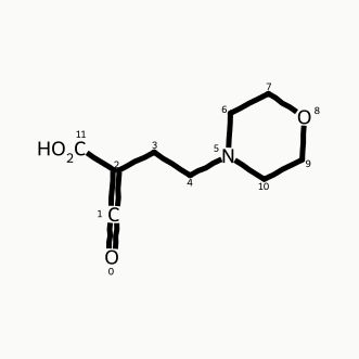 O=C=C(CCN1CCOCC1)C(=O)O